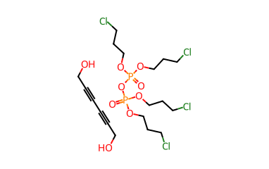 O=P(OCCCCl)(OCCCCl)OP(=O)(OCCCCl)OCCCCl.OCC#CC#CCO